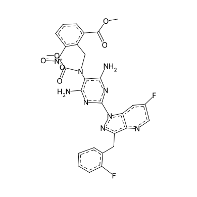 COC(=O)c1cccc([N+](=O)[O-])c1CN(C(=O)OC)c1c(N)nc(-n2nc(Cc3ccccc3F)c3ncc(F)cc32)nc1N